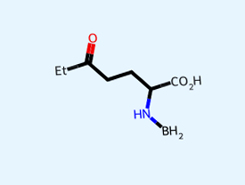 BNC(CCC(=O)CC)C(=O)O